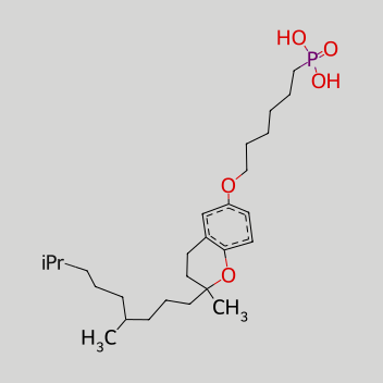 CC(C)CCCC(C)CCCC1(C)CCc2cc(OCCCCCCP(=O)(O)O)ccc2O1